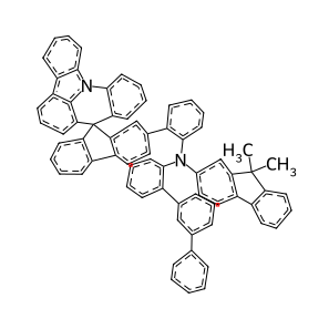 CC1(C)c2ccccc2-c2ccc(N(c3ccccc3-c3cccc(-c4ccccc4)c3)c3ccccc3-c3ccc4c(c3)C3(c5ccccc5-4)c4ccccc4-n4c5ccccc5c5cccc3c54)cc21